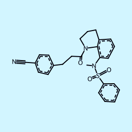 CN(c1cccc2c1N(C(=O)CCc1ccc(C#N)cc1)CCC2)S(=O)(=O)c1ccccc1